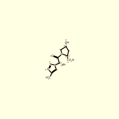 Cc1cn([C@H](C(=O)N2C[C@H](O)C[C@H]2C(=O)O)C(C)C)nn1